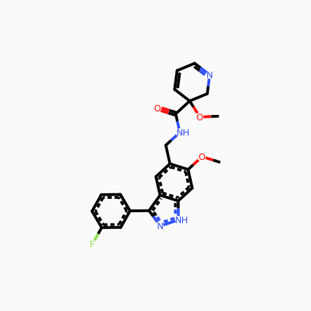 COc1cc2[nH]nc(-c3cccc(F)c3)c2cc1CNC(=O)C1(OC)C=CC=NC1